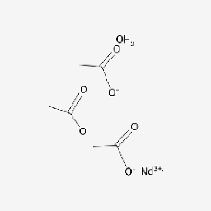 CC(=O)[O-].CC(=O)[O-].CC(=O)[O-].O.[Nd+3]